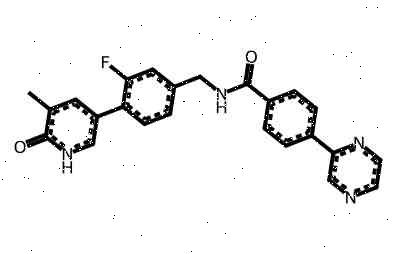 Cc1cc(-c2ccc(CNC(=O)c3ccc(-c4cnccn4)cc3)cc2F)c[nH]c1=O